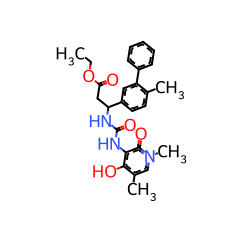 CCOC(=O)CC(NC(=O)Nc1c(O)c(C)cn(C)c1=O)c1ccc(C)c(-c2ccccc2)c1